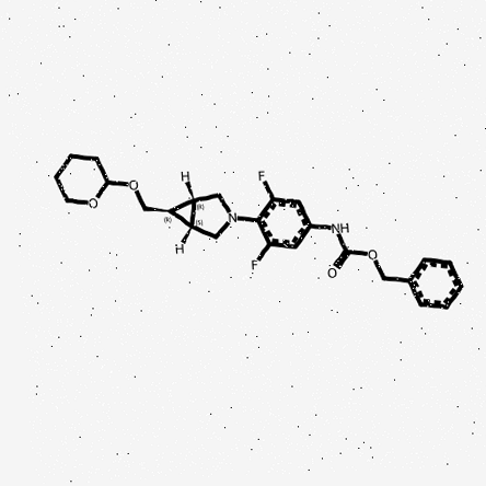 O=C(Nc1cc(F)c(N2C[C@@H]3[C@@H](COC4CCCCO4)[C@@H]3C2)c(F)c1)OCc1ccccc1